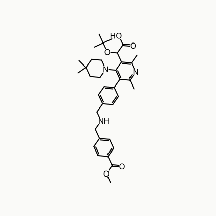 COC(=O)c1ccc(CNCc2ccc(-c3c(C)nc(C)c(C(OC(C)(C)C)C(=O)O)c3N3CCC(C)(C)CC3)cc2)cc1